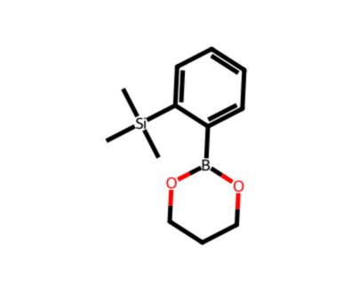 C[Si](C)(C)c1ccccc1B1OCCCO1